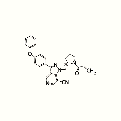 C=CC(=O)N1CCC[C@H]1Cn1nc(-c2ccc(Oc3ccccc3)cc2)c2cncc(C#N)c21